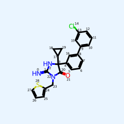 N=C1NC(c2cccc(-c3cccc(Cl)c3)c2)(C2CC2)C(=O)N1Cc1cccs1